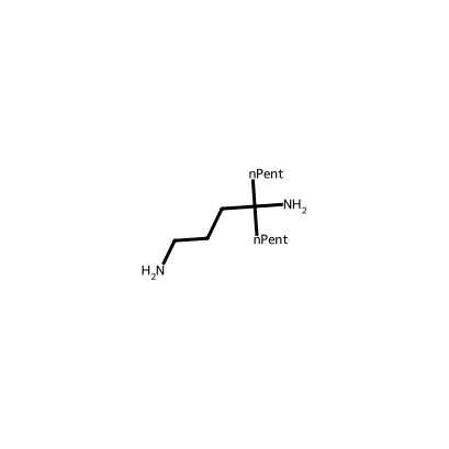 CCCCCC(N)(CCCN)CCCCC